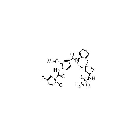 COc1cc(C(=O)N2CC[C@@]3(CCC(NS(N)(=O)=O)C3)Cc3ccccc32)ccc1NC(=O)c1cc(F)ccc1Cl